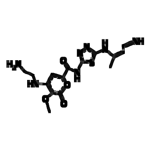 COc1c(NCCN)cc(C(=O)Nc2nnc(N/C(C)=C\C=N)s2)oc1=O